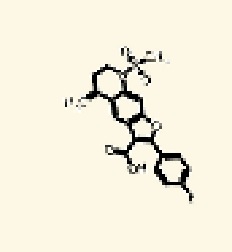 C=C1CCN(S(C)(=O)=O)c2cc3oc(-c4ccc(F)cc4)c(C(=O)O)c3cc21